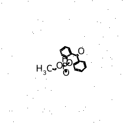 CCO[PH](=O)Oc1ccccc1C(=O)c1ccccc1